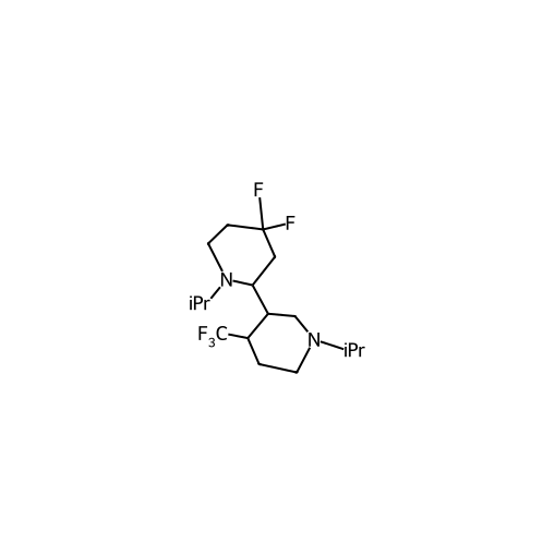 CC(C)N1CCC(C(F)(F)F)C(C2CC(F)(F)CCN2C(C)C)C1